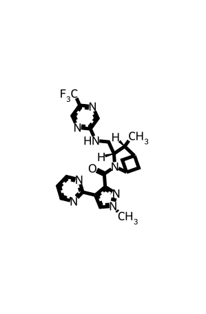 C[C@@H]1C2CC(C2)N(C(=O)c2nn(C)cc2-c2ncccn2)[C@@H]1CNc1cnc(C(F)(F)F)cn1